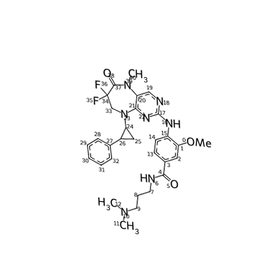 COc1cc(C(=O)NCCCN(C)C)ccc1Nc1ncc2c(n1)N(C1CC1c1ccccc1)CC(F)(F)C(=O)N2C